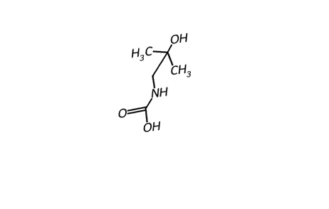 CC(C)(O)CNC(=O)O